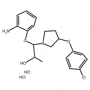 CC(O)C(Oc1ccccc1N)N1CCC(Oc2ccc(Cl)cc2)C1.Cl.Cl